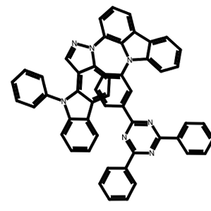 c1ccc(-c2nc(-c3ccccc3)nc(-c3cccc(-n4c5ccccc5c5cccc(-n6ncc7c6ccc6c8ccccc8n(-c8ccccc8)c67)c54)c3)n2)cc1